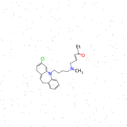 CCC(=O)/C=C/CN(C)CCCCN1C2=CC(Cl)=CCC2=CCc2ccccc21